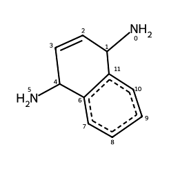 NC1C=CC(N)c2ccccc21